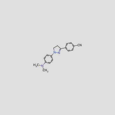 CN(C)c1ccc(N2CCC(c3ccc(C#N)cc3)=N2)cc1